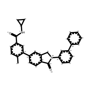 Cc1ccc(C(=O)NC2CC2)cc1-c1ccc2c(c1)CN(c1cccc(-c3ccccc3)c1)C2=O